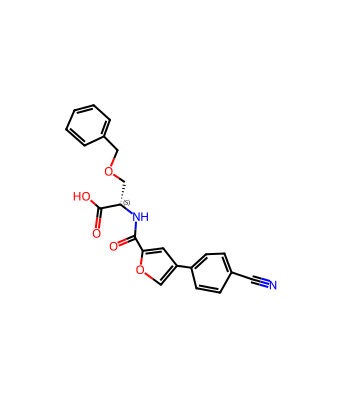 N#Cc1ccc(-c2coc(C(=O)N[C@@H](COCc3ccccc3)C(=O)O)c2)cc1